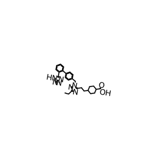 CCc1nc(CCC2CCC(C(=O)O)CC2)n(Cc2ccc(-c3ccccc3-c3nnn[nH]3)cc2)n1